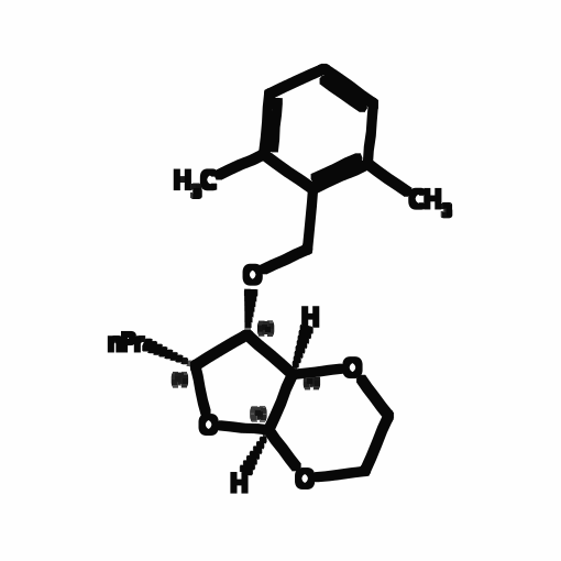 CCC[C@H]1O[C@@H]2OCCO[C@@H]2[C@H]1OCc1c(C)cccc1C